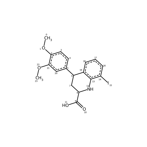 COc1ccc(C2CC(C(=O)O)Nc3c(I)cccc32)cc1OC